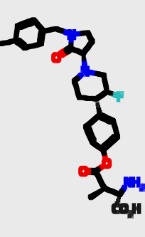 Cc1ccc(CN2CC[C@@H](N3CC[C@@H](c4ccc(OC(=O)[C@H](C)[C@H](N)C(=O)O)cc4)[C@H](F)C3)C2=O)cc1